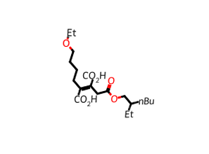 CCCCC(CC)COC(=O)C/C(C(=O)O)=C(/CCCCOCC)C(=O)O